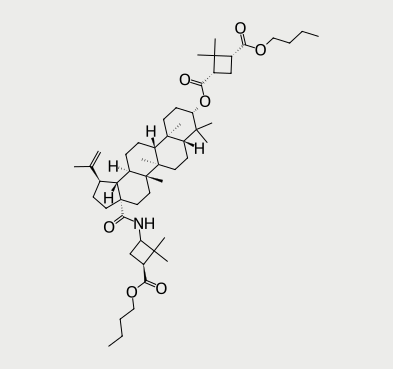 C=C(C)[C@@H]1CC[C@]2(C(=O)NC3C[C@H](C(=O)OCCCC)C3(C)C)CC[C@]3(C)[C@H](CC[C@@H]4[C@@]5(C)CC[C@H](OC(=O)[C@H]6C[C@@H](C(=O)OCCCC)C6(C)C)C(C)(C)[C@@H]5CC[C@]43C)[C@@H]12